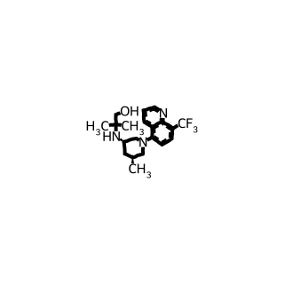 C[C@H]1C[C@@H](NC(C)(C)CO)CN(c2ccc(C(F)(F)F)c3ncccc23)C1